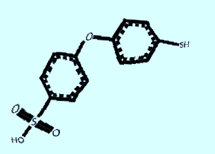 O=S(=O)(O)c1ccc(Oc2ccc(S)cc2)cc1